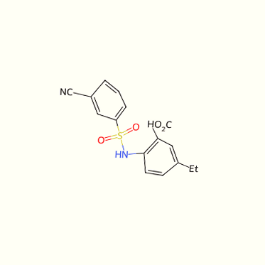 CCc1ccc(NS(=O)(=O)c2cccc(C#N)c2)c(C(=O)O)c1